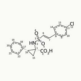 O=C(O)[C@]1(NS(=O)(=O)/C=C/c2ccc(Cl)cc2)C[C@@H]1c1ccccc1